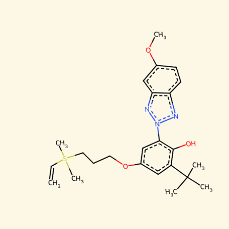 C=CS(C)(C)CCCOc1cc(-n2nc3ccc(OC)cc3n2)c(O)c(C(C)(C)C)c1